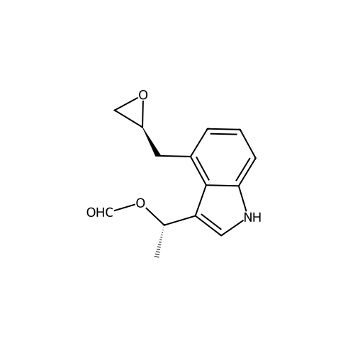 C[C@H](OC=O)c1c[nH]c2cccc(C[C@H]3CO3)c12